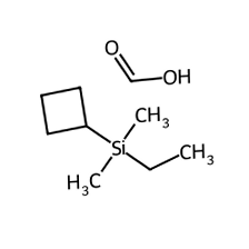 CC[Si](C)(C)C1CCC1.O=CO